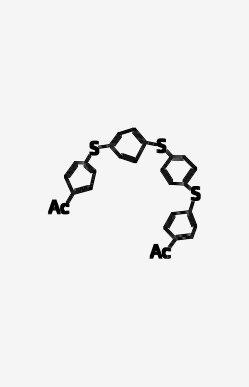 CC(=O)c1ccc(Sc2ccc(Sc3ccc(Sc4ccc(C(C)=O)cc4)cc3)cc2)cc1